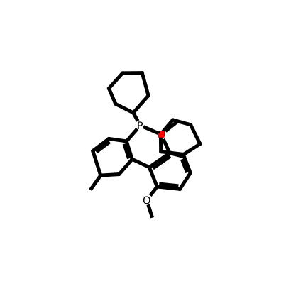 COc1cccc(OC)c1C1=C(P(C2CCCCC2)C2CCCCC2)C=CC(C)C1